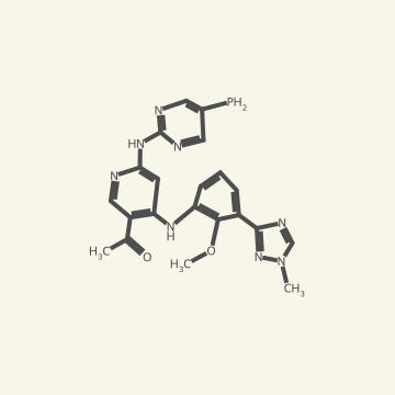 COc1c(Nc2cc(Nc3ncc(P)cn3)ncc2C(C)=O)cccc1-c1ncn(C)n1